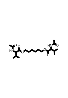 CC(=O)NC(C(=O)OCCCCCCOC(=O)C(NC(C)=O)C(C)C)C(C)C